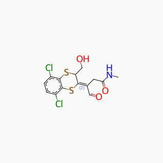 CNC(=O)C/C(C=O)=C1/Sc2c(Cl)ccc(Cl)c2SC1CO